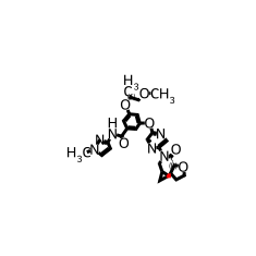 COC[C@H](C)Oc1cc(Oc2cnc(N(CC3CC3)C(=O)[C@H]3CCCO3)cn2)cc(C(=O)Nc2ccn(C)n2)c1